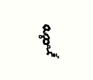 C=C(CN)COc1ccc2c(c1)CCN(Cc1ccccc1)C2=O